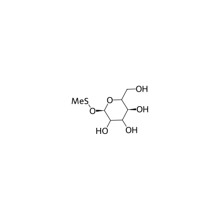 CSO[C@H]1OC(CO)[C@@H](O)C(O)C1O